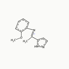 COc1ccccc1/N=C(\C)c1ccn[nH]1